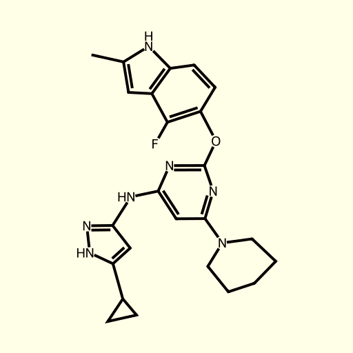 Cc1cc2c(F)c(Oc3nc(Nc4cc(C5CC5)[nH]n4)cc(N4CCCCC4)n3)ccc2[nH]1